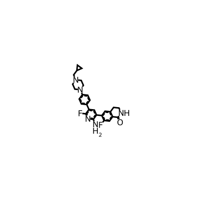 Nc1nc(F)c(-c2ccc(N3CCN(CC4CC4)CC3)cc2)cc1-c1cc2c(cc1F)C(=O)NCC2